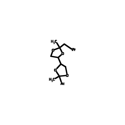 CC(=O)C1(C)OCC(C2COC(C)(CC(C)C)O2)O1